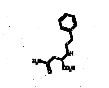 NC(=O)C[C@H](NCCc1ccccc1)C(=O)O